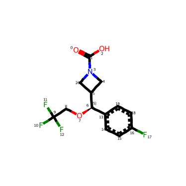 O=C(O)N1CC([C@H](OCC(F)(F)F)c2ccc(F)cc2)C1